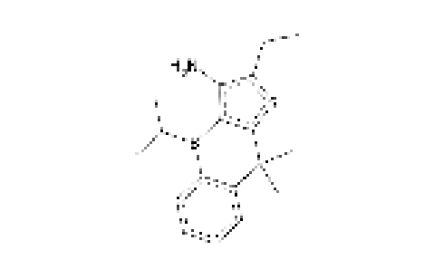 CCc1sc2c(c1N)B(C(C)C)c1ccccc1C2(C)C